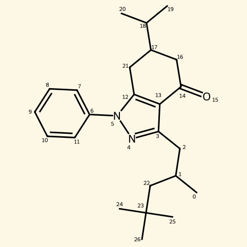 CC(Cc1nn(-c2ccccc2)c2c1C(=O)CC(C(C)C)C2)CC(C)(C)C